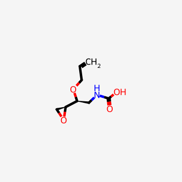 C=CCO[C@@H](CNC(=O)O)[C@@H]1CO1